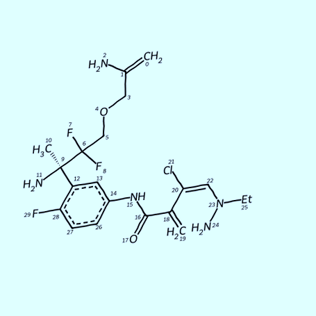 C=C(N)COCC(F)(F)[C@](C)(N)c1cc(NC(=O)C(=C)/C(Cl)=C\N(N)CC)ccc1F